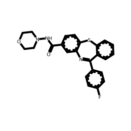 O=C(NN1CCOCC1)c1ccc2c(c1)N=C(c1ccc(F)cc1)c1ccccc1S2